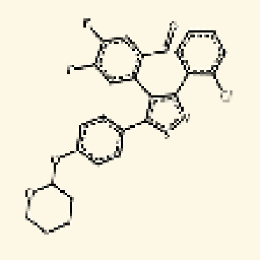 O=Cc1cc(F)c(F)cc1-c1c(-c2ccccc2Cl)nsc1-c1ccc(OC2CCCCO2)cc1